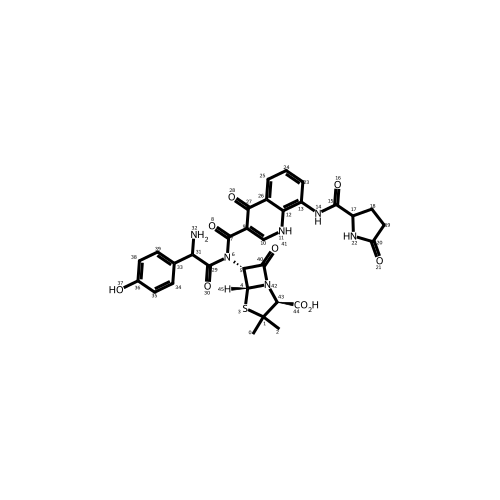 CC1(C)S[C@@H]2[C@H](N(C(=O)c3c[nH]c4c(NC(=O)C5CCC(=O)N5)cccc4c3=O)C(=O)C(N)c3ccc(O)cc3)C(=O)N2[C@H]1C(=O)O